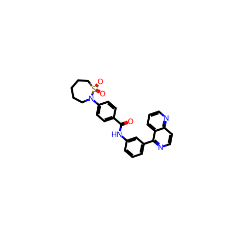 O=C(Nc1cccc(-c2nccc3ncccc23)c1)c1ccc(N2CCCCCS2(=O)=O)cc1